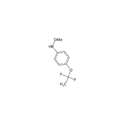 COBc1ccc(OC(C)(F)F)cc1